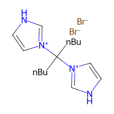 CCCCC(CCCC)([n+]1cc[nH]c1)[n+]1cc[nH]c1.[Br-].[Br-]